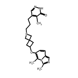 Cc1c(CCCN2CC3(CC(Oc4ccc5cnc(C)n5c4C)C3)C2)cn[nH]c1=O